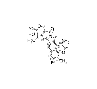 CC[C@@]1(O)C(=O)OCc2c1cc1n(c2=O)Cc2c-1nc1cc(F)c(C)c3c1c2[C@@H](N)CO3